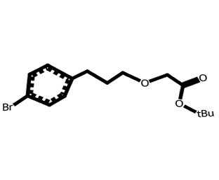 CC(C)(C)OC(=O)COCCCc1ccc(Br)cc1